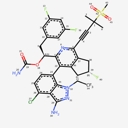 CC(C)(C#Cc1nc([C@H](Cc2cc(F)cc(F)c2)OC(N)=O)c(-c2ccc(Cl)c3c(N)nn(CC(F)(F)F)c23)c2c1C[C@H](F)C2)S(C)(=O)=O